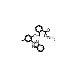 Cc1ccc(O)c(-n2nc3ccccc3n2)c1.Cc1ccccc1C(=O)ON